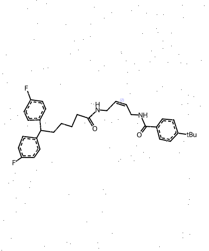 CC(C)(C)c1ccc(C(=O)NC/C=C\CNC(=O)CCCCC(c2ccc(F)cc2)c2ccc(F)cc2)cc1